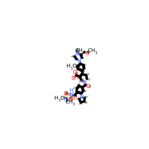 COC[C@H]1CN(c2ccc3c4c(c(=O)oc3c2C)CN(C(=O)c2ccc(C(=O)NS(=O)(=O)N(C)C)c(N3CCCC3)c2)CC4)CCN1C